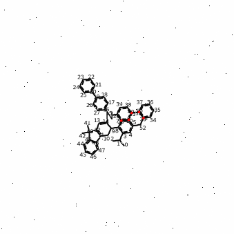 CC(C)c1cc2c(cc1C1CC3=C(C=C1N(c1ccc(-c4ccccc4)cc1)c1ccc(-c4ccccc4)cc1)C(C)(C)c1ccccc13)CCCC2